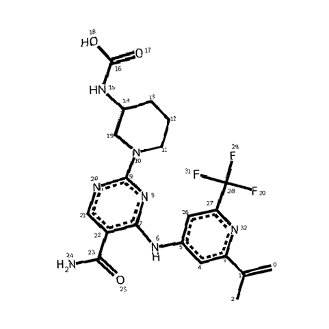 C=C(C)c1cc(Nc2nc(N3CCCC(NC(=O)O)C3)ncc2C(N)=O)cc(C(F)(F)F)n1